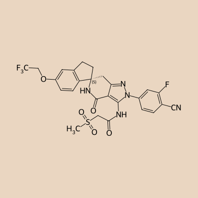 CS(=O)(=O)CC(=O)Nc1c2c(nn1-c1ccc(C#N)c(F)c1)C[C@]1(CCc3cc(OCC(F)(F)F)ccc31)NC2=O